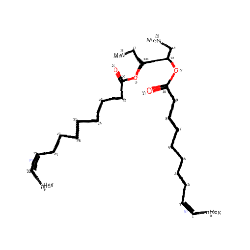 CCCCCC/C=C\CCCCCCCC(=O)OC(CNC)C(CNC)OC(=O)CCCCCCC/C=C\CCCCCC